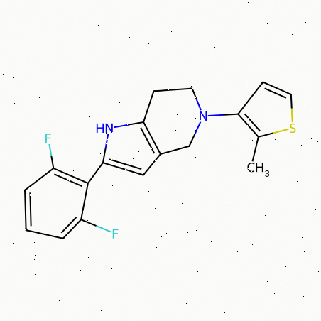 Cc1sccc1N1CCc2[nH]c(-c3c(F)cccc3F)cc2C1